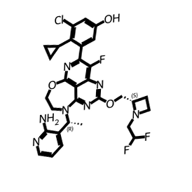 C[C@H](c1cccnc1N)N1CCOc2nc(-c3cc(O)cc(Cl)c3C3CC3)c(F)c3nc(OC[C@@H]4CCN4CC(F)F)nc1c23